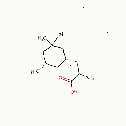 CC(C[C@@H]1C[C@H](C)CC(C)(C)C1)C(=O)O